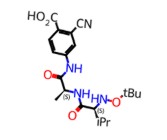 CC(C)[C@H](NOC(C)(C)C)C(=O)N[C@@H](C)C(=O)Nc1ccc(C(=O)O)c(C#N)c1